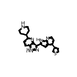 c1cc(-c2ccsc2)c2cc(-c3n[nH]c4ccc(C5CCNCC5)nc34)[nH]c2n1